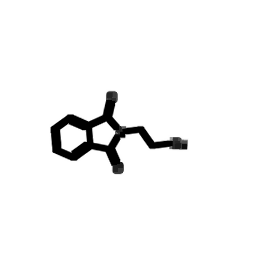 CCC(C)CCN1C(=O)c2ccccc2C1=O